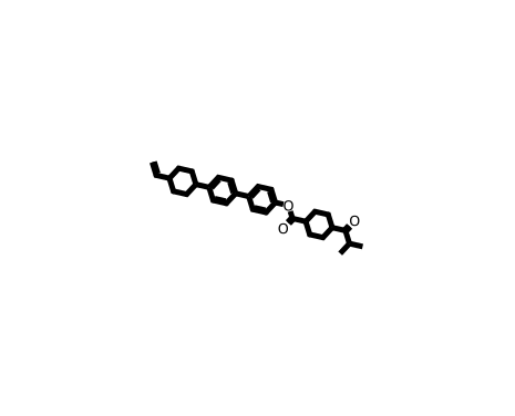 C=CC1CCC(c2ccc(-c3ccc(OC(=O)C4CCC(C(=O)C(C)C)CC4)cc3)cc2)CC1